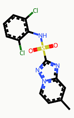 Cc1ccn2nc(S(=O)(=O)Nc3c(Cl)cccc3Cl)nc2c1